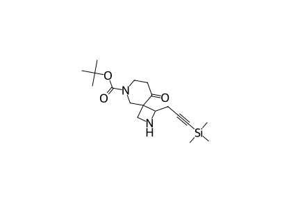 CC(C)(C)OC(=O)N1CCC(=O)C2(CNC2CC#C[Si](C)(C)C)C1